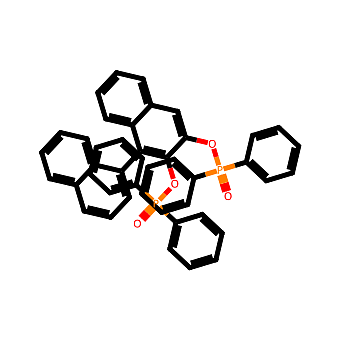 O=P(Oc1cc2ccccc2c(-c2cccc3ccccc23)c1OP(=O)(c1ccccc1)c1ccccc1)(c1ccccc1)c1ccccc1